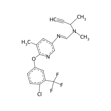 C#CC(C)N(C)/C=N/c1cnc(Oc2ccc(Cl)c(C(F)(F)F)c2)c(C)c1